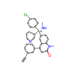 C#Cc1cccc(-c2cc(=O)n(C)c3ccc([C@](NC)(c4ccc(Cl)cc4)c4cccnc4)cc23)c1